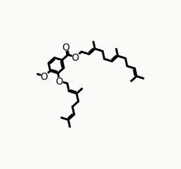 COc1ccc(C(=O)OC/C=C(\C)CC/C=C(\C)CCC=C(C)C)cc1OC/C=C(\C)CCC=C(C)C